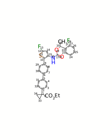 CCOC(=O)C1(c2ccc(-c3ccc(-c4sc(F)cc4NC(=O)OC(C)c4ccccc4F)cc3)cc2)CC1